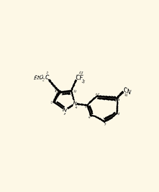 CCOC(=O)c1cnn(-c2cccc(C#N)c2)c1C(F)(F)F